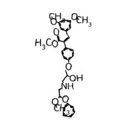 COC(=O)C(=Cc1cc(OC)cc(OC)c1)c1ccc(OCC(O)CNCC(OC)Oc2ccccc2)cc1